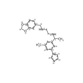 Cc1cc(C(C)NCCNCc2ccc3c(c2)OCO3)nc(-n2ccnc2)n1